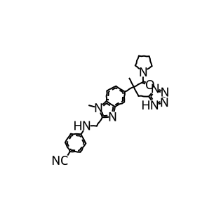 Cn1c(CNc2ccc(C#N)cc2)nc2cc(C(C)(Cc3nnn[nH]3)C(=O)N3CCCC3)ccc21